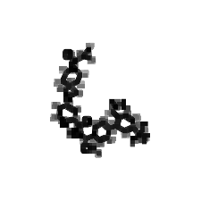 C[C@@H](NC(=O)c1cc(N2CC3(CCN(C(=O)C4CC4)CC3)C2)ccn1)c1ccc(-c2cc(C(F)(F)F)ccc2CN)cc1